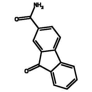 NC(=O)c1ccc2c(c1)C(=O)c1ccccc1-2